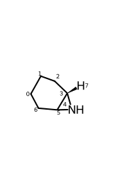 C1CC[C@@H]2NC2C1